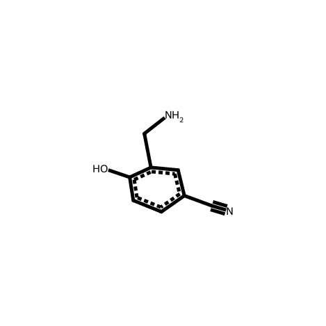 N#Cc1ccc(O)c(CN)c1